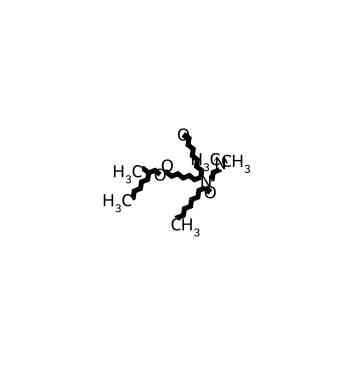 CCCCCCCCC(=O)N(CCCN(C)C)C(CCCCCCC=O)CCCCCC(=O)OCC(CC)CCCCCC